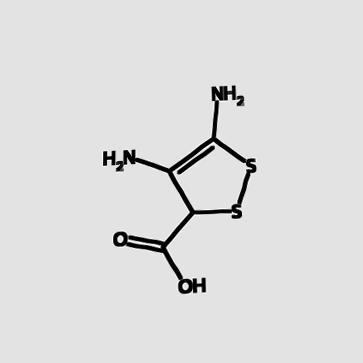 NC1=C(N)C(C(=O)O)SS1